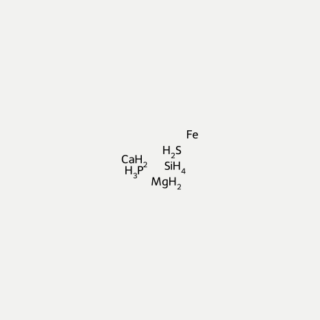 P.S.[CaH2].[Fe].[MgH2].[SiH4]